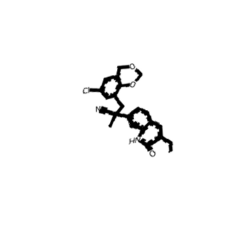 CCc1cc2ccc(C(C)(C#N)Cc3cc(Cl)cc4c3OCOC4)cc2[nH]c1=O